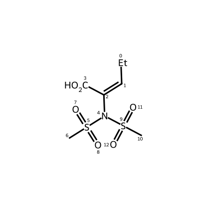 CC/C=C(\C(=O)O)N(S(C)(=O)=O)S(C)(=O)=O